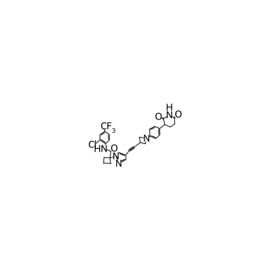 O=C1CCC(c2ccc(N3CC(C#Cc4cnn(C5(C(=O)Nc6ccc(C(F)(F)F)cc6Cl)CCC5)c4)C3)cc2)C(=O)N1